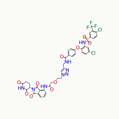 O=C1CCC(N2C(=O)c3cccc(NC(=O)COCCn4cc(CNC(=O)c5ccc(Oc6ccc(Cl)cc6NS(=O)(=O)c6ccc(Cl)c(C(F)(F)F)c6)cc5)nn4)c3C2=O)C(=O)N1